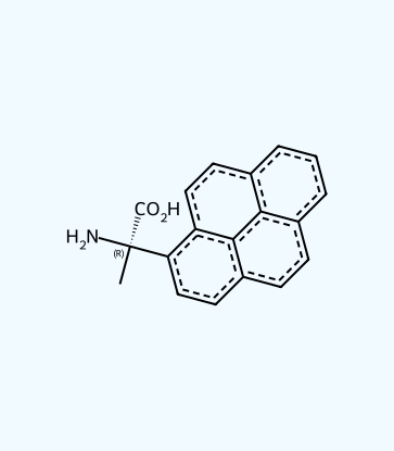 C[C@](N)(C(=O)O)c1ccc2ccc3cccc4ccc1c2c34